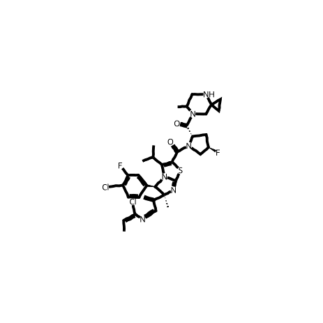 C=C(/C=N\C(Cl)=C/C)[C@]1(C)N=C2SC(C(=O)N3C[C@H](F)C[C@H]3C(=O)N3CC4(CC4)NCC3C)=C(C(C)C)N2[C@@H]1c1ccc(Cl)c(F)c1